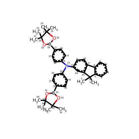 CC1(C)c2ccccc2-c2ccc(N(c3ccc(B4OC(C)(C)C(C)(C)O4)cc3)c3ccc(B4OC(C)(C)C(C)(C)O4)cc3)cc21